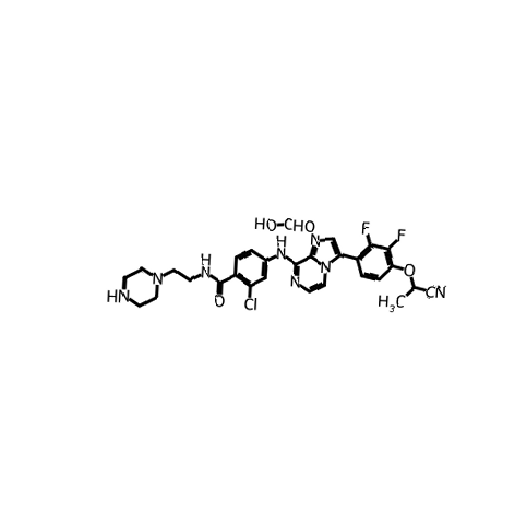 CC(C#N)Oc1ccc(-c2cnc3c(Nc4ccc(C(=O)NCCN5CCNCC5)c(Cl)c4)nccn23)c(F)c1F.O=CO